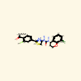 CNC(=O)c1ccc(-c2nc(NC(=O)N[C@H]3CCOc4c(Cl)cccc43)cs2)cc1F